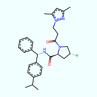 Cc1cc(C)n(CCC(=O)N2C[C@H](F)C[C@H]2C(=O)N[C@@H](c2ccccc2)c2ccc(C(C)C)cc2)n1